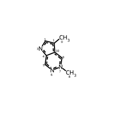 Cc1cnc2cnn(C)cc1-2